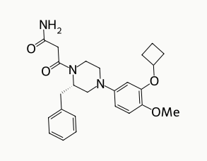 COc1ccc(N2CCN(C(=O)CC(N)=O)[C@@H](Cc3ccccc3)C2)cc1OC1CCC1